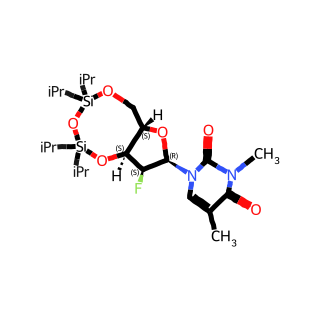 Cc1cn([C@@H]2O[C@H]3CO[Si](C(C)C)(C(C)C)O[Si](C(C)C)(C(C)C)O[C@@H]3[C@@H]2F)c(=O)n(C)c1=O